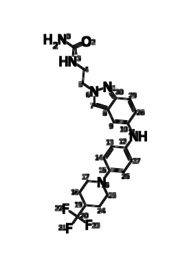 NC(=O)NCCn1cc2cc(Nc3ccc(N4CCC(C(F)(F)F)CC4)cc3)ccc2n1